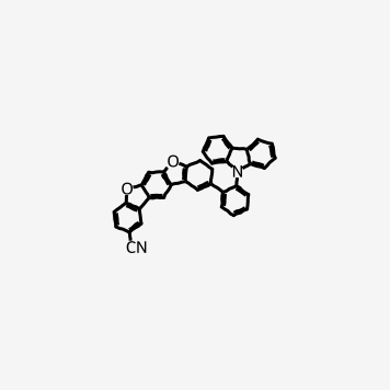 N#Cc1ccc2oc3cc4oc5c(c4cc3c2c1)C=C(c1ccccc1-n1c2ccccc2c2ccccc21)CC5